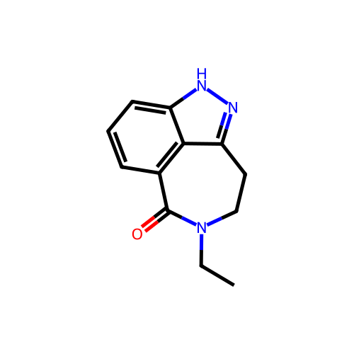 CCN1CCc2n[nH]c3cccc(c23)C1=O